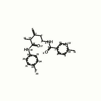 C=C(CCNC(=O)c1ccc(C)nc1)C(C)C(=O)Nc1ccc(F)cc1